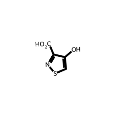 O=C(O)c1nscc1O